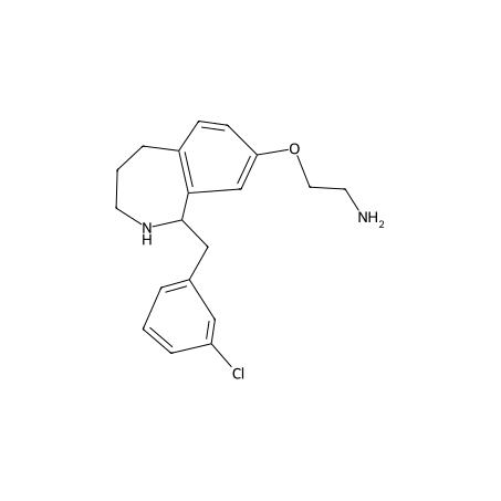 NCCOc1ccc2c(c1)C(Cc1cccc(Cl)c1)NCCC2